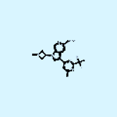 CC(=O)Nc1cc2c(-c3cc(C)nc(C(C)(F)F)n3)cn(C3CN(C)C3)c2cn1